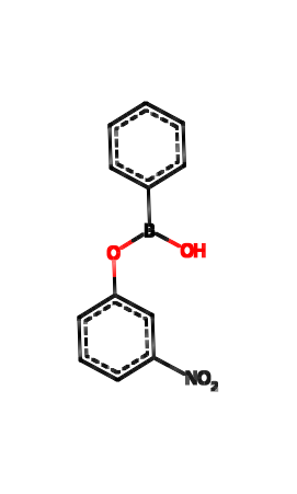 O=[N+]([O-])c1cccc(OB(O)c2ccccc2)c1